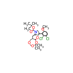 COc1ccc(Cl)c(Cl)c1[C@H]1C[C@@H](CC2COCOC(C)(C)OC2=O)N(C(=O)OC(C)(C)C)C1